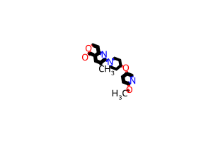 COc1ccc(OC2CCN(c3nc4ccoc(=O)c4cc3C)CC2)cn1